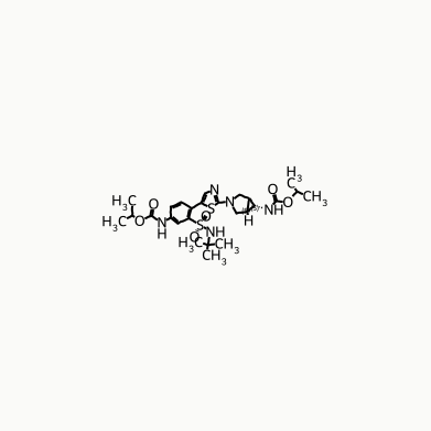 CC(C)OC(=O)Nc1ccc(-c2cnc(N3CC4[C@@H](C3)[C@H]4NC(=O)OC(C)C)s2)c(S(=O)(=O)NC(C)(C)C)c1